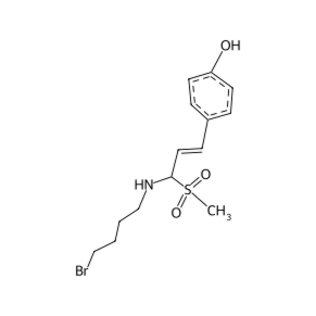 CS(=O)(=O)C(C=Cc1ccc(O)cc1)NCCCCBr